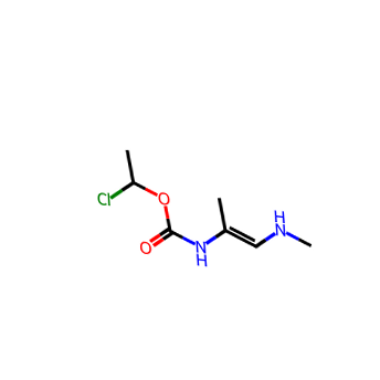 CN/C=C(\C)NC(=O)OC(C)Cl